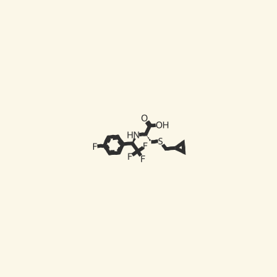 O=C(O)[C@H](CSCC1CC1)N[C@H](c1ccc(F)cc1)C(F)(F)F